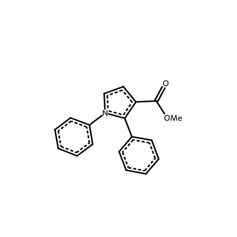 COC(=O)c1ccn(-c2ccccc2)c1-c1ccccc1